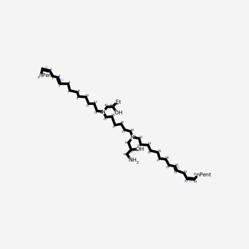 CCCCC/C=C\C/C=C/CCCCCCCCN(CCCCCCN(CCCCCCCC/C=C/C/C=C\CCCCC)CC(O)CN)CC(O)CC